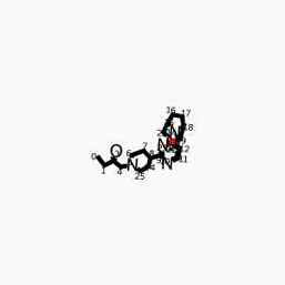 CCC(=O)CN1CCC(c2nccc(N3C4CCC3CN(C)C4)n2)CC1